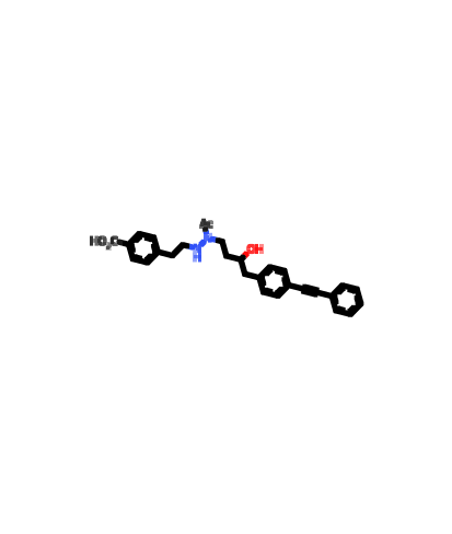 CC(=O)N(CCC(O)Cc1ccc(C#Cc2ccccc2)cc1)NCCc1ccc(C(=O)O)cc1